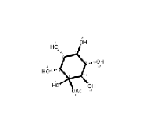 CC(=O)OC1(O)[C@H](O)[C@H](O)C(O)[C@H](O)[C@H]1O